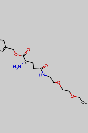 N[C@@H](CCC(=O)NCCOCCOCC(=O)O)C(=O)OCc1ccccc1